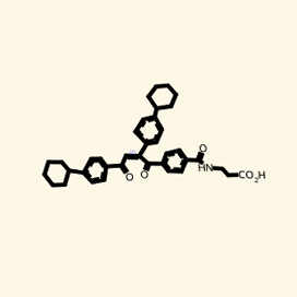 O=C(O)CCNC(=O)c1ccc(C(=O)/C(=C\C(=O)c2ccc(C3CCCCC3)cc2)c2ccc(C3CCCCC3)cc2)cc1